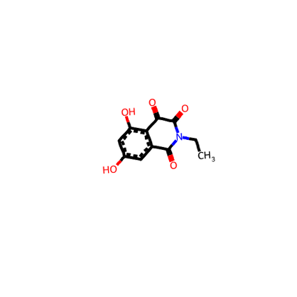 CCN1C(=O)C(=O)c2c(O)cc(O)cc2C1=O